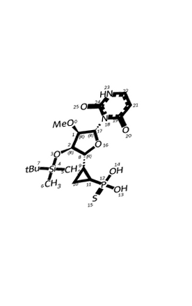 CO[C@@H]1[C@H](O[Si](C)(C)C(C)(C)C)[C@@H](C2CC2P(O)(O)=S)O[C@H]1n1c(=O)cc[nH]c1=O